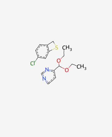 CCOC(OCC)c1ccncn1.Clc1ccc2c(c1)SC2